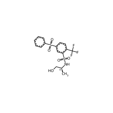 C[C@@H](CO)NS(=O)(=O)c1cc(S(=O)(=O)c2ccccc2)ccc1C(F)(F)F